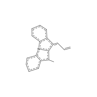 C=C/C=c1/c2ccccc2n2c1c(C)c1ccccc12